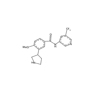 COc1ccc(C(=O)Nc2cncc(C(F)(F)F)c2)cc1C1CCNC1